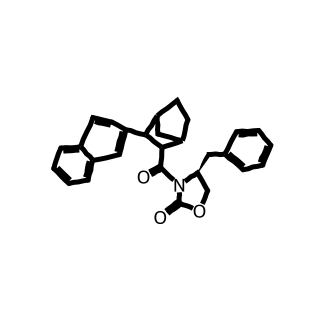 O=C1OC[C@H](Cc2ccccc2)N1C(=O)C1C2CCC(C2)C1c1ccc2ccccc2c1